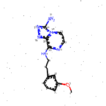 COc1cccc(CCNc2nccn3c(N)nnc23)c1